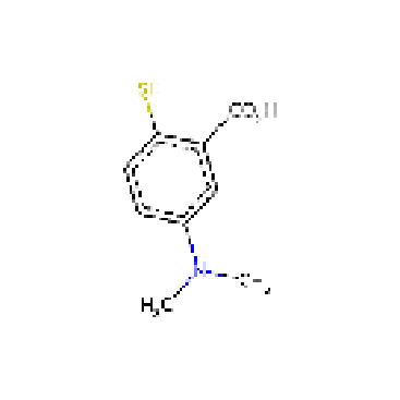 CN(C)c1ccc(S)c(C(=O)O)c1